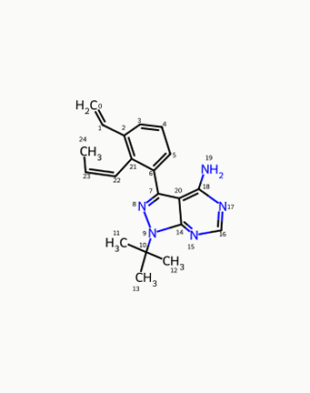 C=Cc1cccc(-c2nn(C(C)(C)C)c3ncnc(N)c23)c1/C=C\C